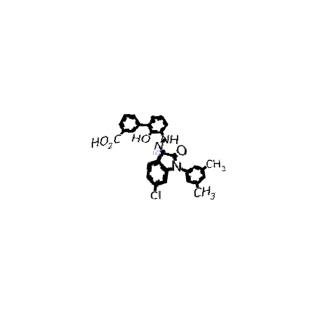 Cc1cc(C)cc(N2C(=O)/C(=N\Nc3cccc(-c4cccc(C(=O)O)c4)c3O)c3ccc(Cl)cc32)c1